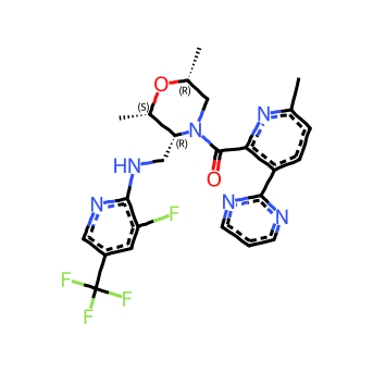 Cc1ccc(-c2ncccn2)c(C(=O)N2C[C@@H](C)O[C@@H](C)[C@H]2CNc2ncc(C(F)(F)F)cc2F)n1